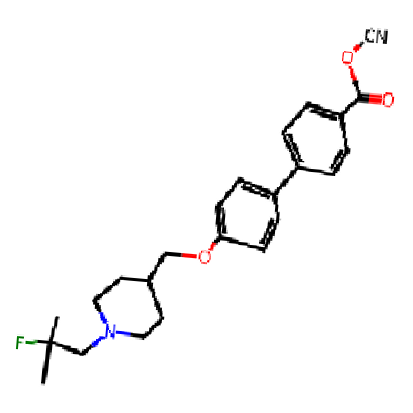 CC(C)(F)CN1CCC(COc2ccc(-c3ccc(C(=O)OC#N)cc3)cc2)CC1